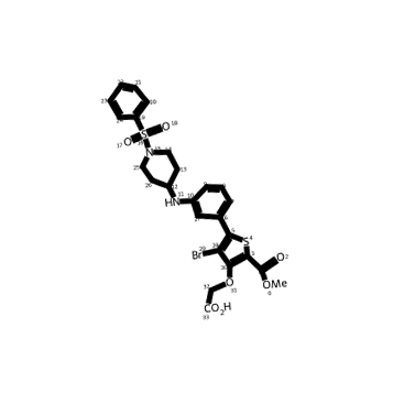 COC(=O)c1sc(-c2cccc(NC3CCN(S(=O)(=O)c4ccccc4)CC3)c2)c(Br)c1OCC(=O)O